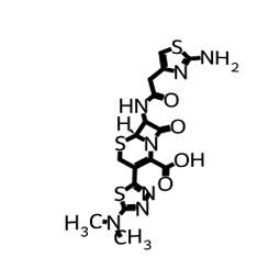 CN(C)c1nnc(C2=C(C(=O)O)N3C(=O)C(NC(=O)Cc4csc(N)n4)[C@@H]3SC2)s1